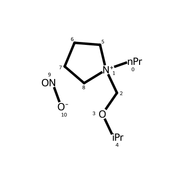 CCC[N+]1(COC(C)C)CCCC1.O=N[O-]